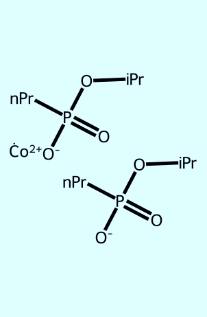 CCCP(=O)([O-])OC(C)C.CCCP(=O)([O-])OC(C)C.[Co+2]